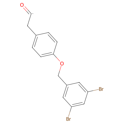 O=[C]Cc1ccc(OCc2cc(Br)cc(Br)c2)cc1